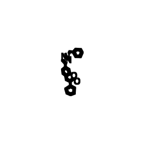 O=c1oc2cc(-c3cnn(Cc4ccccc4)n3)ccc2cc1-c1ccccc1